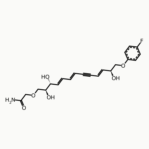 NC(=O)COC[C@H](O)[C@H](O)C=CC=CC#CC=C[C@H](O)COc1ccc(F)cc1